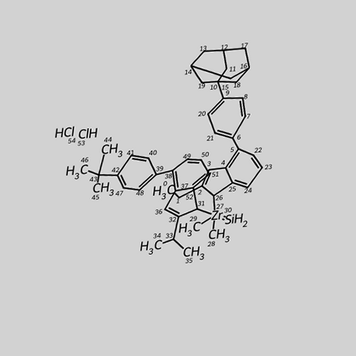 CCC1=Cc2c(-c3ccc(C45CC6CC(CC(C6)C4)C5)cc3)cccc2[CH]1[Zr]([CH3])([CH3])(=[SiH2])[CH]1C(C(C)C)=Cc2c(-c3ccc(C(C)(C)C)cc3)cccc21.Cl.Cl